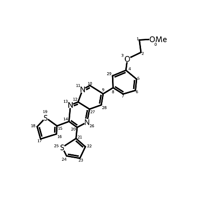 COCCOc1cccc(-c2cnc3nc(-c4cccs4)c(-c4cccs4)nc3c2)c1